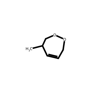 CC1C=CCOOC1